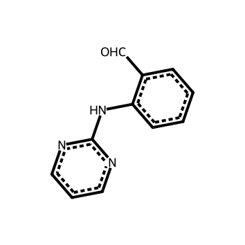 O=Cc1ccccc1Nc1ncccn1